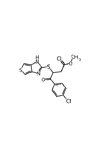 COC(=O)CC(Sc1nc2cscc2[nH]1)C(=O)c1ccc(Cl)cc1